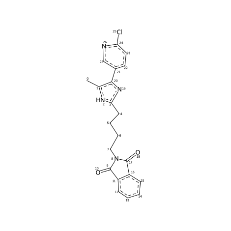 Cc1[nH]c(CCCCN2C(=O)c3ccccc3C2=O)nc1-c1ccc(Cl)nc1